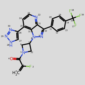 C=C(F)C(=O)N1CC(n2nc(-c3ccc(C(F)(F)F)cc3)c3nccc(-c4c[nH]nn4)c32)C1